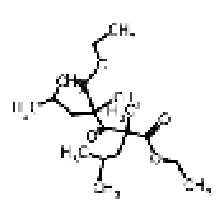 CCOC(=O)C(C)(CC(C)C)C(=O)C(C)(CC(C)C)C(=O)OCC